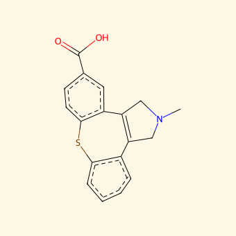 CN1CC2=C(C1)c1cc(C(=O)O)ccc1Sc1ccccc12